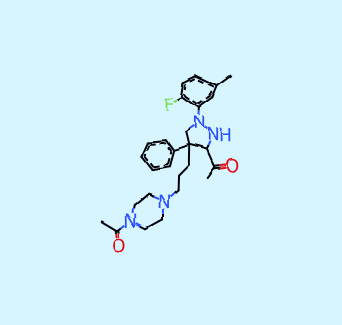 CC(=O)C1NN(c2cc(C)ccc2F)CC1(CCCN1CCN(C(C)=O)CC1)c1ccccc1